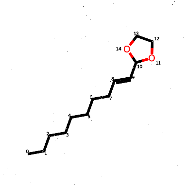 CCCCCCCCC=CC1OCCO1